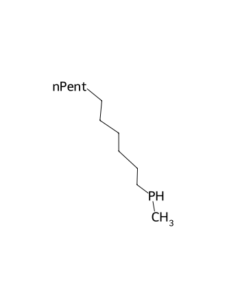 CCCCCCCCCCCPC